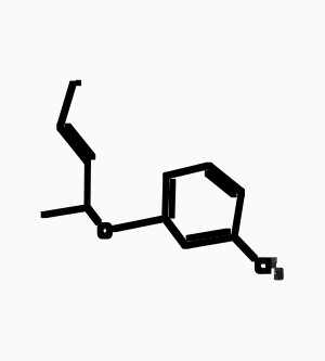 [CH2]C=CC(C)Oc1cccc(C(F)(F)F)c1